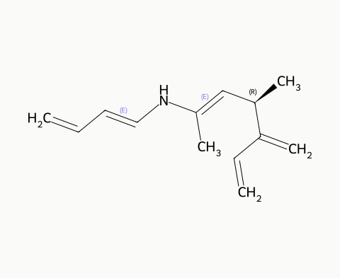 C=C/C=C/N/C(C)=C/[C@@H](C)C(=C)C=C